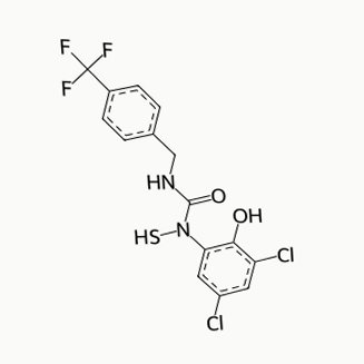 O=C(NCc1ccc(C(F)(F)F)cc1)N(S)c1cc(Cl)cc(Cl)c1O